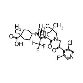 CC(C)(C)CN(CC(=O)c1c(F)cncc1Cl)C(=O)c1cnn([C@H]2CC[C@](C)(C(=O)O)CC2)c1C(F)(F)F